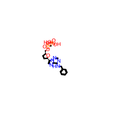 O=P(O)(O)CP(=O)(O)OC[C@@H]1CC[C@H](c2cnc3c(NCc4ccccc4)ncnn23)O1